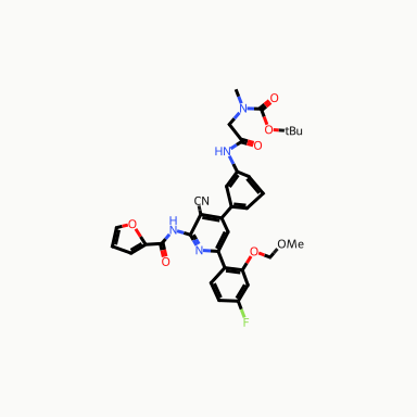 COCOc1cc(F)ccc1-c1cc(-c2cccc(NC(=O)CN(C)C(=O)OC(C)(C)C)c2)c(C#N)c(NC(=O)c2ccco2)n1